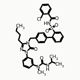 CCCCc1nn(-c2cccc(N(C)C(=O)NC(C)C)c2)c(=O)n1Cc1ccc(-c2ccccc2S(=O)(=O)NC(=O)c2ccccc2Cl)cc1